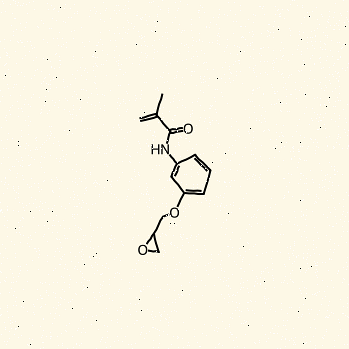 C=C(C)C(=O)Nc1cccc(OCC2CO2)c1